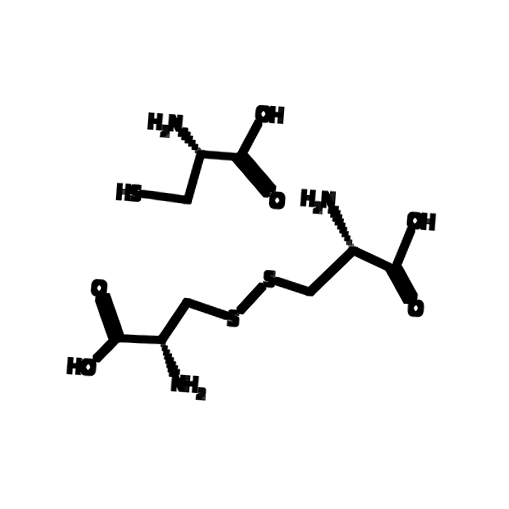 N[C@@H](CS)C(=O)O.N[C@@H](CSSC[C@H](N)C(=O)O)C(=O)O